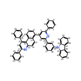 c1ccc(-c2cc(-c3cccc4c3ccc3nc(-c5ccccc5)cc(-c5ccccc5)c34)cc(-c3cccc(-n4c5ccccc5c5ccccc54)c3)n2)cc1